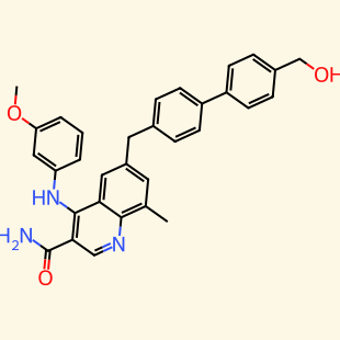 COc1cccc(Nc2c(C(N)=O)cnc3c(C)cc(Cc4ccc(-c5ccc(CO)cc5)cc4)cc23)c1